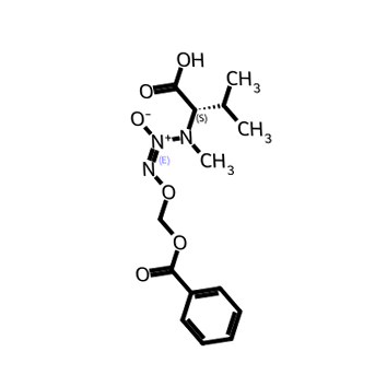 CC(C)[C@@H](C(=O)O)N(C)/[N+]([O-])=N\OCOC(=O)c1ccccc1